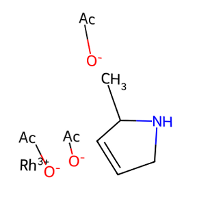 CC(=O)[O-].CC(=O)[O-].CC(=O)[O-].CC1C=CCN1.[Rh+3]